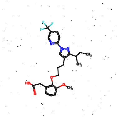 CCC(C)c1nn(-c2ccc(C(F)(F)F)cn2)cc1CCCOc1c(CC(=O)O)cccc1OC